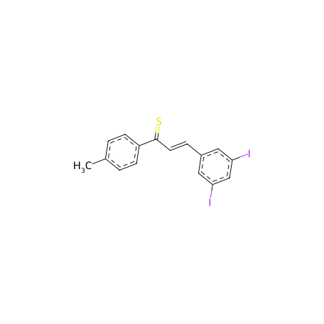 Cc1ccc(C(=S)C=Cc2cc(I)cc(I)c2)cc1